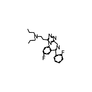 CCCN(CCC)CCc1nnc2n1-c1ccc(F)cc1C(c1ccccc1F)=NC2